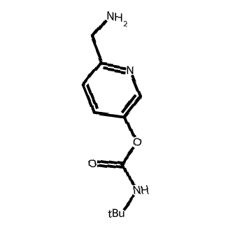 CC(C)(C)NC(=O)Oc1ccc(CN)nc1